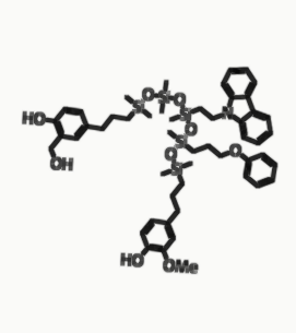 COc1cc(CCC[Si](C)(C)O[Si](C)(CCCOc2ccccc2)O[Si](C)(CCn2c3ccccc3c3ccccc32)O[Si](C)(C)O[Si](C)(C)CCCc2ccc(O)c(CO)c2)ccc1O